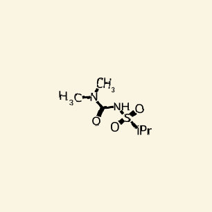 CC(C)S(=O)(=O)NC(=O)N(C)C